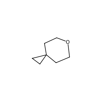 C1CC2(CCO1)CC2